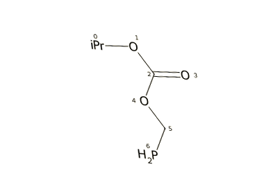 CC(C)OC(=O)OCP